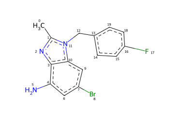 Cc1nc2c(N)cc(Br)cc2n1Cc1ccc(F)cc1